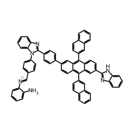 Nc1ccccc1/N=C/c1ccc(-n2c(-c3ccc(-c4ccc5c(-c6ccc7ccccc7c6)c6cc(-c7nc8ccccc8[nH]7)ccc6c(-c6ccc7ccccc7c6)c5c4)cc3)nc3ccccc32)cc1